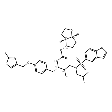 Cc1nc(COc2ccc(C[C@H](NC(=O)O[C@H]3CO[C@H]4OCC[C@H]43)[C@H](O)CN(CC(C)C)S(=O)(=O)c3ccc4occc4c3)cc2)cs1